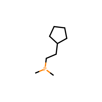 CP(C)CCC1CCCC1